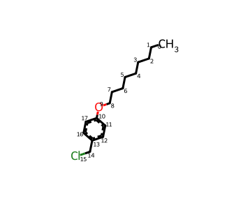 CCCCCCCCCOc1ccc(CCl)cc1